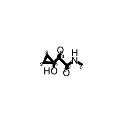 CNC(=O)C(=O)C1(O)CC1